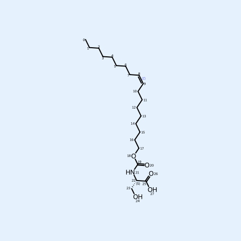 CCCCCCCC/C=C\CCCCCCCCOC(=O)N[C@@H](CO)C(=O)O